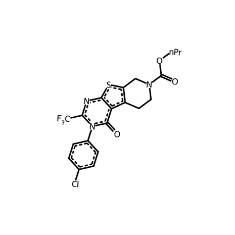 CCCOC(=O)N1CCc2c(sc3nc(C(F)(F)F)n(-c4ccc(Cl)cc4)c(=O)c23)C1